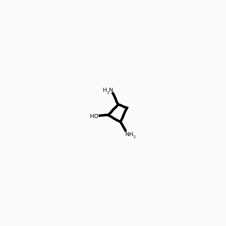 NC1CC(N)C1O